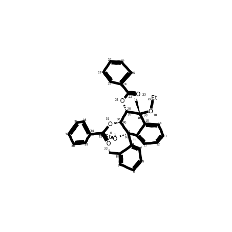 CCO[C@@]1(c2ccccc2C)c2ccccc2[C@@](C)(OCC)[C@@H](OC(=O)c2ccccc2)[C@H]1OC(=O)c1ccccc1